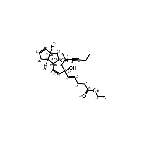 CCC#CC(C)C[C@](O)(C=CCCC(=O)OCC)/C=C\[C@H]1[C@H]2CC=C[C@@H]2C[C@H]1O